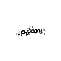 CC(=O)NC(Cc1ccc(CN(C)C)cn1)c1nnc(-c2cccc(OC(F)(F)F)c2)s1